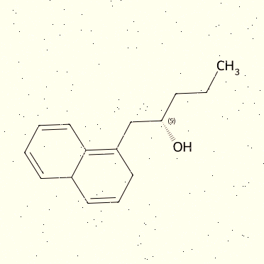 CCC[C@H](O)CC1=C2C=CC=CC2C=CC1